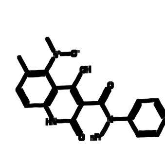 CCCN(C(=O)c1c(O)c2c([S+](C)[O-])c(C)ccc2[nH]c1=O)c1ccccc1